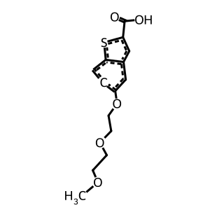 COCCOCCOc1ccc2sc(C(=O)O)cc2c1